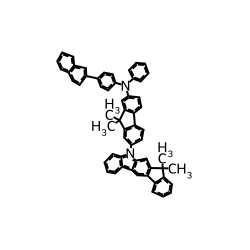 CC1(C)c2cc(N(c3ccccc3)c3ccc(-c4ccc5ccccc5c4)cc3)ccc2-c2ccc(-n3c4ccccc4c4cc5c(cc43)C(C)(C)c3ccccc3-5)cc21